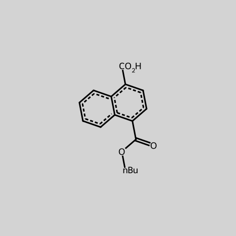 CCCCOC(=O)c1ccc(C(=O)O)c2ccccc12